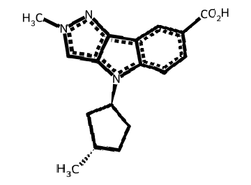 C[C@H]1CC[C@H](n2c3ccc(C(=O)O)cc3c3nn(C)cc32)C1